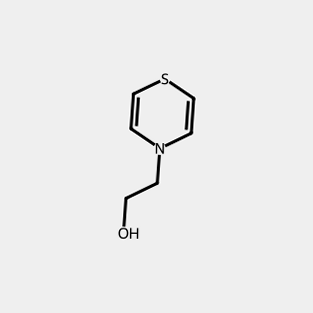 OCCN1C=CSC=C1